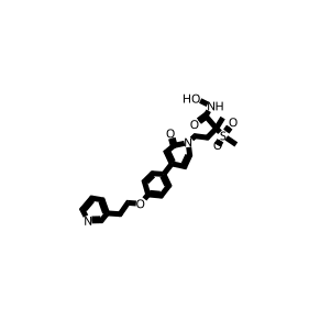 CC(CCn1ccc(-c2ccc(OCCc3cccnc3)cc2)cc1=O)(C(=O)NO)S(C)(=O)=O